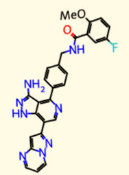 COc1ccc(F)cc1C(=O)NCc1ccc(-c2ncc(-c3cc4ncccn4n3)c3[nH]nc(N)c23)cc1